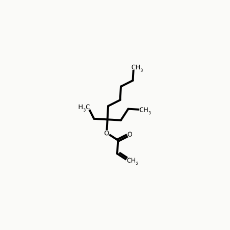 C=CC(=O)OC(CC)(CCC)CCCCC